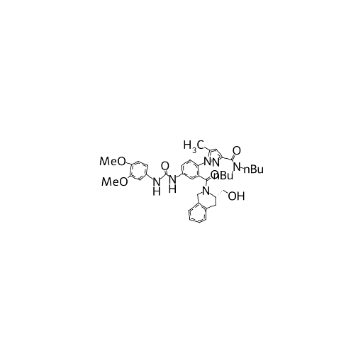 CCCCN(CCCC)C(=O)c1cc(C)n(-c2ccc(NC(=O)Nc3ccc(OC)c(OC)c3)cc2C(=O)N2Cc3ccccc3C[C@H]2CO)n1